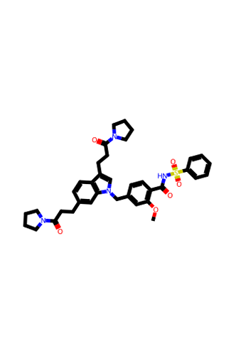 COc1cc(Cn2cc(CCC(=O)N3CCCC3)c3ccc(CCC(=O)N4CCCC4)cc32)ccc1C(=O)NS(=O)(=O)c1ccccc1